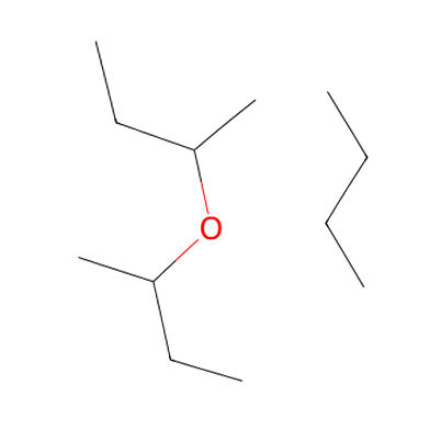 CCC(C)OC(C)CC.CCCC